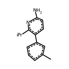 Cc1cccc(-c2ccc(N)nc2C(C)C)c1